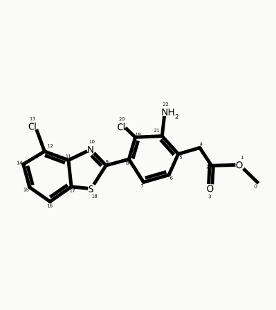 COC(=O)Cc1ccc(-c2nc3c(Cl)cccc3s2)c(Cl)c1N